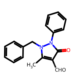 Cc1c(C=O)c(=O)n(-c2ccccc2)n1Cc1ccccc1